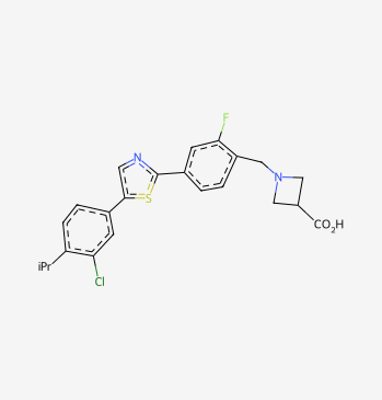 CC(C)c1ccc(-c2cnc(-c3ccc(CN4CC(C(=O)O)C4)c(F)c3)s2)cc1Cl